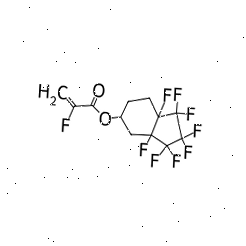 C=C(F)C(=O)OC1CCC2(F)C(F)(F)C(F)(F)C(F)(F)C2(F)C1